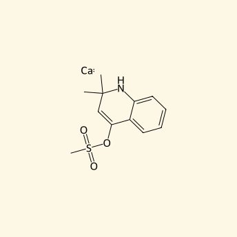 CC1(C)C=C(OS(C)(=O)=O)c2ccccc2N1.[Ca]